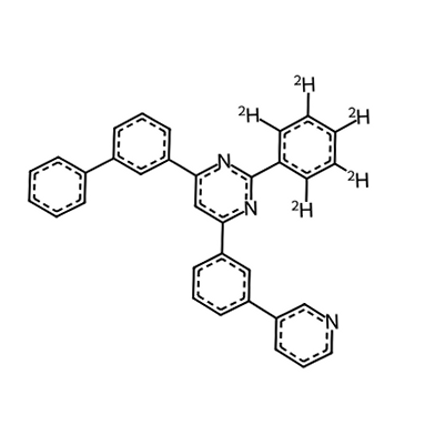 [2H]c1c([2H])c([2H])c(-c2nc(-c3cccc(-c4ccccc4)c3)cc(-c3cccc(-c4cccnc4)c3)n2)c([2H])c1[2H]